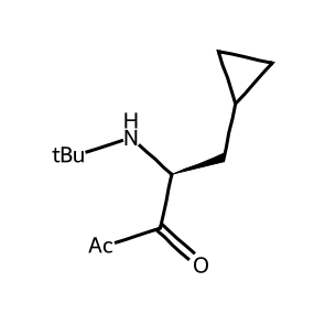 CC(=O)C(=O)[C@H](CC1CC1)NC(C)(C)C